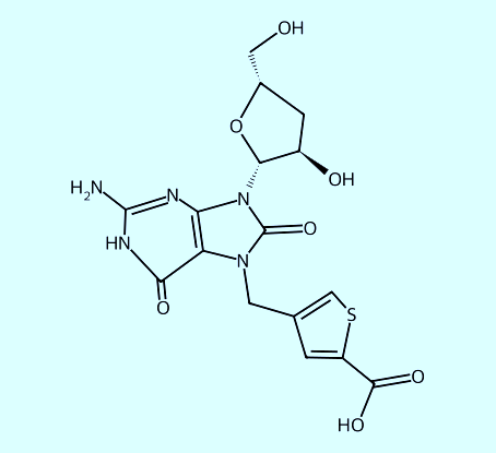 Nc1nc2c(c(=O)[nH]1)n(Cc1csc(C(=O)O)c1)c(=O)n2[C@@H]1O[C@H](CO)C[C@H]1O